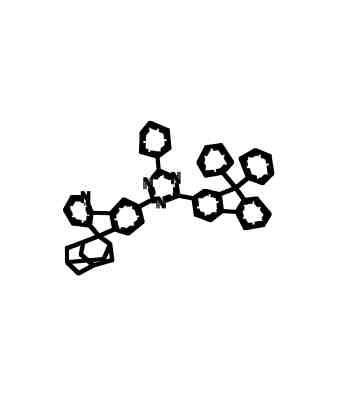 c1ccc(-c2nc(-c3ccc4c(c3)-c3ncccc3C43C4CC5CC(C4)CC3C5)nc(-c3ccc4c(c3)C(c3ccccc3)(c3ccccc3)c3ccccc3-4)n2)cc1